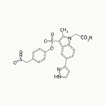 Cc1c(S(=O)(=O)Oc2ccc(C[SH](=O)=O)cc2)c2cc(-c3cc[nH]n3)ccc2n1CC(=O)O